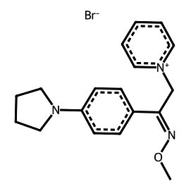 CO/N=C(/C[n+]1ccccc1)c1ccc(N2CCCC2)cc1.[Br-]